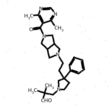 Cc1ncnc(C)c1C(=O)N1CC2CN(CCC3(c4ccccc4)CCN(CC(C)(C)C=O)C3)CC2C1